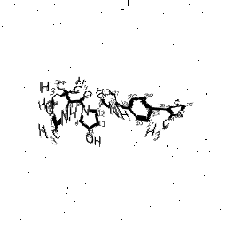 CC(=O)N[C@H](C(=O)N1C[C@H](O)C[C@H]1C(=O)N[C@@H](CO)c1ccc(-c2scnc2C)cc1)C(C)(C)C